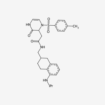 Cc1ccc(S(=O)(=O)N2C=CNC(=O)C2CC(=O)NCC2CCc3c(cccc3NC(C)C)C2)cc1